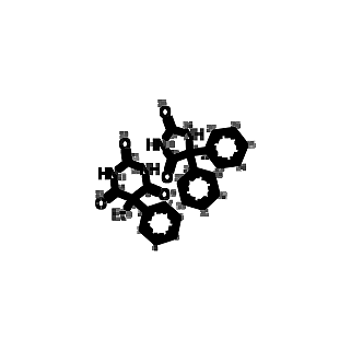 CCC1(c2ccccc2)C(=O)NC(=O)NC1=O.O=C1NC(=O)C(c2ccccc2)(c2ccccc2)N1